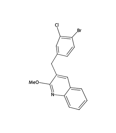 COc1nc2ccccc2cc1Cc1ccc(Br)c(Cl)c1